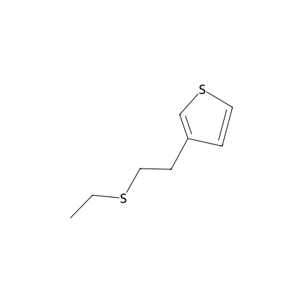 CCSCCc1ccsc1